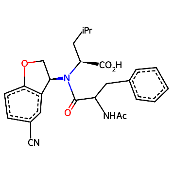 CC(=O)NC(Cc1ccccc1)C(=O)N([C@@H]1COc2ccc(C#N)cc21)[C@@H](CC(C)C)C(=O)O